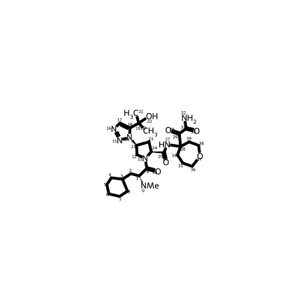 CN[C@H](CC1CCCCC1)C(=O)N1C[C@@H](n2nncc2C(C)(C)O)C[C@H]1C(=O)NC1(C(=O)C(N)=O)CCCOCC1